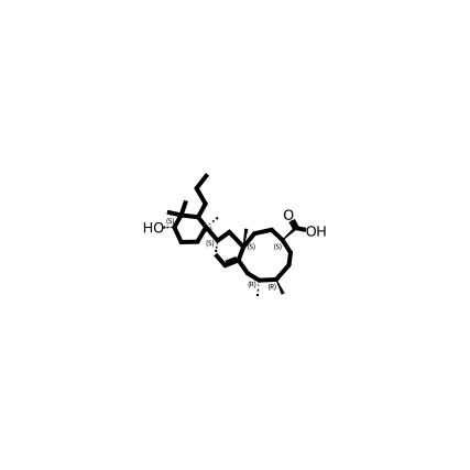 CCCC1C(C)(C)[C@@H](O)CC[C@]1(C)[C@H]1CC=C2C[C@@H](C)[C@H](C)CC[C@H](C(=O)O)CC[C@@]2(C)C1